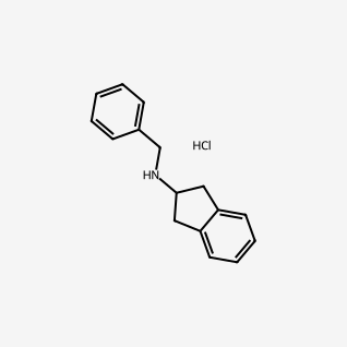 Cl.c1ccc(CNC2Cc3ccccc3C2)cc1